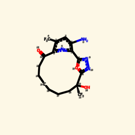 Nc1cc(C(F)(F)F)c2nc1-c1nnc(o1)[C@@](O)(C(F)(F)F)CCCCCCC2=O